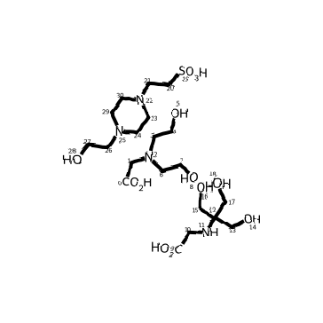 O=C(O)CN(CCO)CCO.O=C(O)CNC(CO)(CO)CO.O=S(=O)(O)CCN1CCN(CCO)CC1